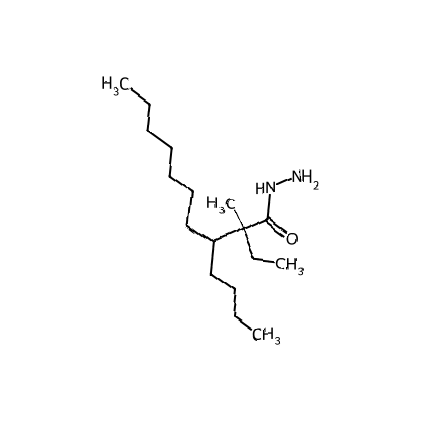 CCCCCCCC(CCCC)C(C)(CC)C(=O)NN